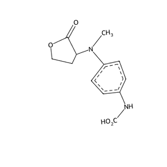 CN(c1ccc(NC(=O)O)cc1)C1CCOC1=O